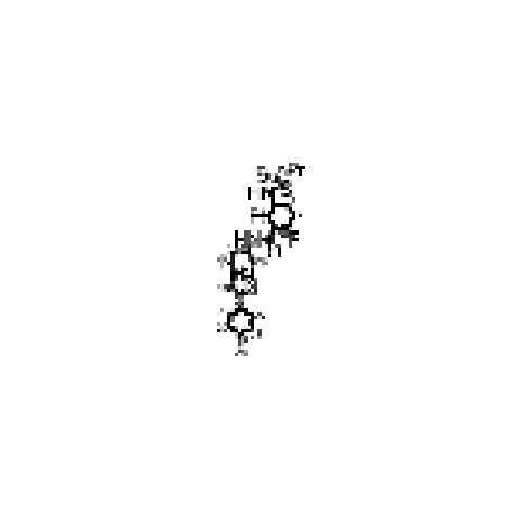 CCCS(=O)(=O)Nc1ccc(F)c(C(=O)Nc2cnc3cc(-c4ccc(C)cc4)nn3c2)c1F